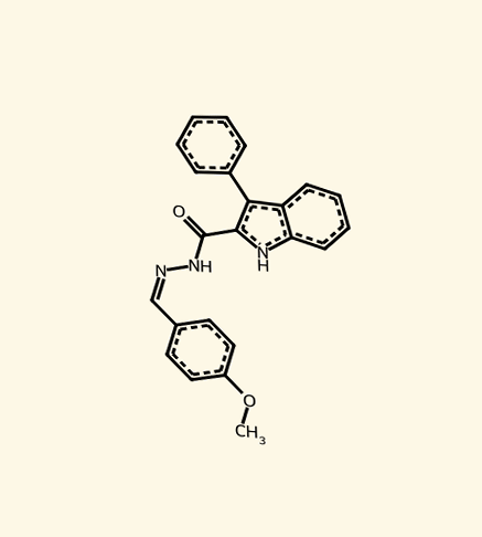 COc1ccc(/C=N\NC(=O)c2[nH]c3ccccc3c2-c2ccccc2)cc1